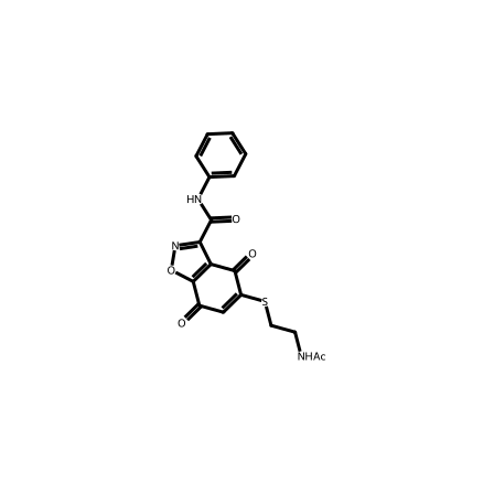 CC(=O)NCCSC1=CC(=O)c2onc(C(=O)Nc3ccccc3)c2C1=O